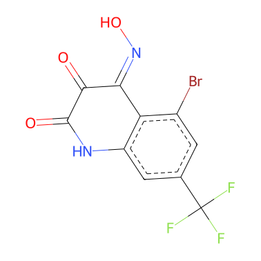 O=C1Nc2cc(C(F)(F)F)cc(Br)c2C(=NO)C1=O